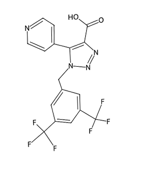 O=C(O)c1nnn(Cc2cc(C(F)(F)F)cc(C(F)(F)F)c2)c1-c1ccncc1